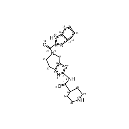 O=C(Nc1nc2c(s1)CN(C(=O)c1cc3ccccc3[nH]1)CC2)C1CCNCC1